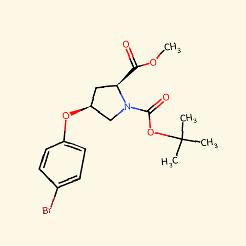 COC(=O)[C@@H]1C[C@H](Oc2ccc(Br)cc2)CN1C(=O)OC(C)(C)C